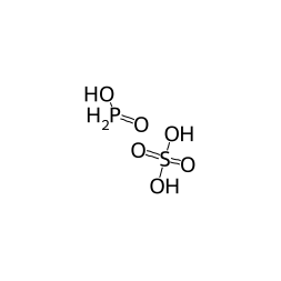 O=S(=O)(O)O.O=[PH2]O